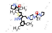 CCC(C(=O)N1CCCC1)N1CCN(CCc2c(-c3cc(C)cc(C)c3)[nH]c3sc(C(C)(C)C(=O)C4C5CCN4CC5)cc23)CC1